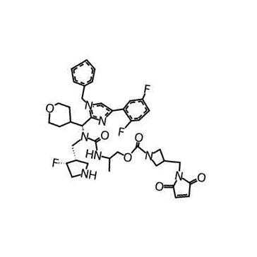 CC(COC(=O)N1CC(CN2C(=O)C=CC2=O)C1)NC(=O)N(C[C@@H]1CNC[C@@H]1F)[C@@H](c1nc(-c2cc(F)ccc2F)cn1Cc1ccccc1)C1CCOCC1